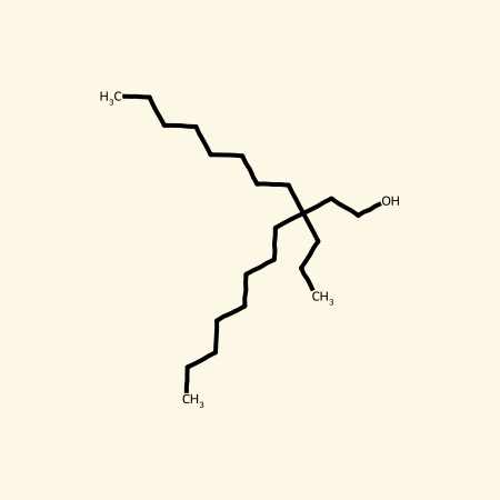 CCCCCCCCC(CCC)(CCO)CCCCCCCC